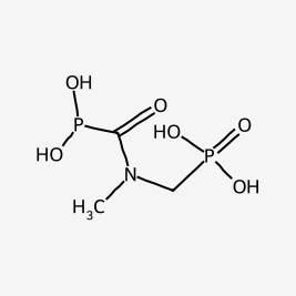 CN(CP(=O)(O)O)C(=O)P(O)O